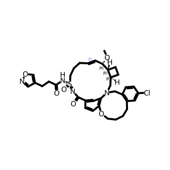 CO[C@H]1/C=C/CCC[S@@](=O)(NC(=O)CCc2cnoc2)=NC(=O)c2ccc3c(c2)N(Cc2ccc(Cl)cc2CCCCO3)C[C@@H]2CC[C@H]21